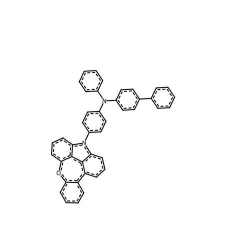 c1ccc(-c2ccc(N(c3ccccc3)c3ccc(-n4c5cccc6oc7ccccc7c7cccc4c7c65)cc3)cc2)cc1